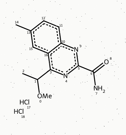 COC(C)c1nc(C(N)=O)nc2ccc(C)cc12.Cl.Cl